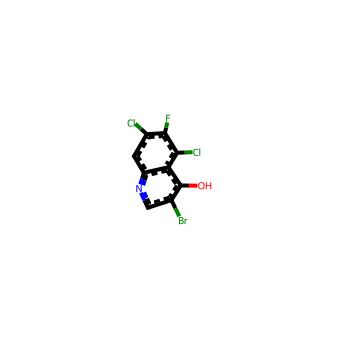 Oc1c(Br)cnc2cc(Cl)c(F)c(Cl)c12